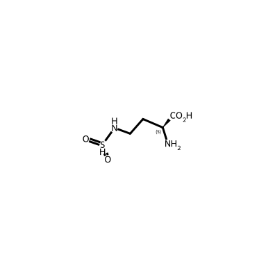 N[C@@H](CCN[SH](=O)=O)C(=O)O